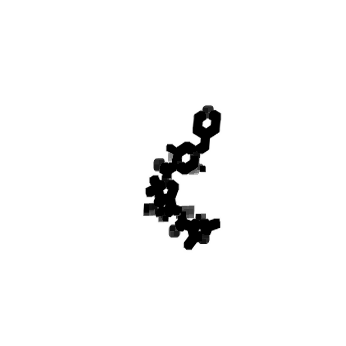 Cc1nc(C(=O)Nc2n[nH]c3c2CN(C(=O)N2C[C@@H](C)N(CC4CCOCC4)C[C@@H]2C)C3(C)C)c(C)o1